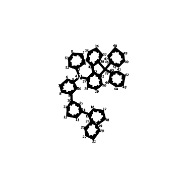 c1ccc(N(c2cccc(-c3cccc(-c4cccc5ccccc45)c3)c2)c2cccc3c2-c2ccccc2C3(c2ccccc2)c2ccccc2)cc1